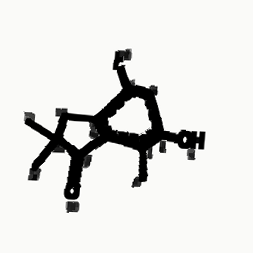 Cc1c(O)cc(F)c2c1C(=O)C(C)(C)C2